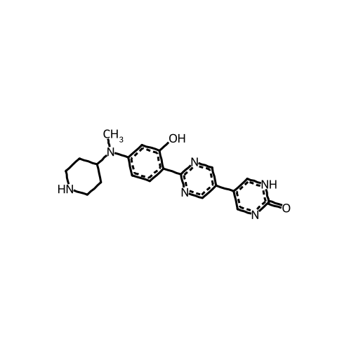 CN(c1ccc(-c2ncc(-c3cnc(=O)[nH]c3)cn2)c(O)c1)C1CCNCC1